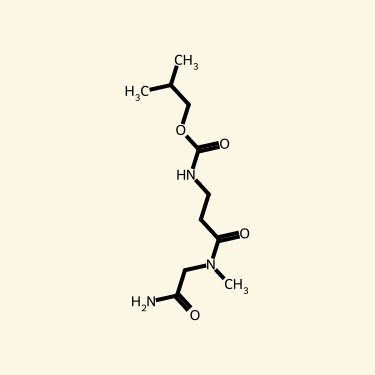 CC(C)COC(=O)NCCC(=O)N(C)CC(N)=O